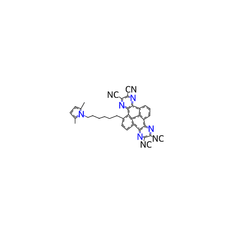 [C-]#[N+]c1nc2c3cccc4c5nc(C#N)c(C#N)nc5c5c(CCCCCCn6c(C)ccc6C)ccc(c2nc1[N+]#[C-])c5c34